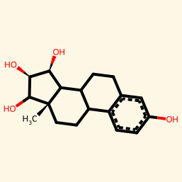 C[C@]12CCC3c4ccc(O)cc4CCC3C1[C@H](O)[C@H](O)C2O